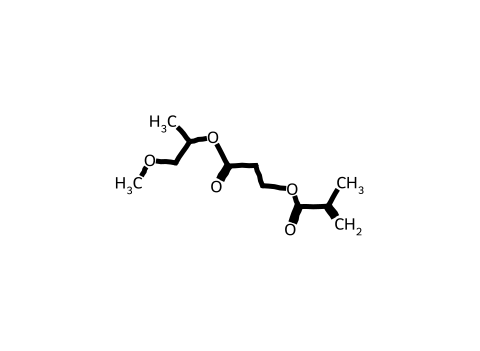 C=C(C)C(=O)OCCC(=O)OC(C)COC